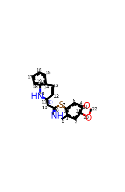 Cc1cc2c(cc1SC(=N)/C=C1\C=Cc3ccccc3N1)OCO2